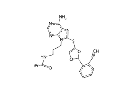 C#Cc1ccccc1C1OC=C(Sc2nc3c(N)ncnc3n2CCCNC(=O)C(C)C)O1